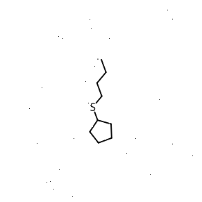 [CH2]CCCSC1CCCC1